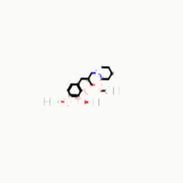 CCOC(=O)C(Cc1ccc(OC)c(OC)c1)CN1CCCCC1